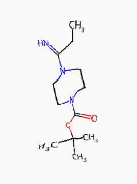 CCC(=N)N1CCN(C(=O)OC(C)(C)C)CC1